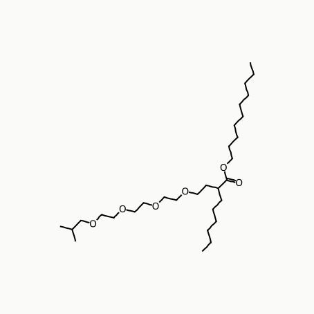 CCCCCCCCCCOC(=O)C(CCCCCC)CCOCCOCCOCCOCC(C)C